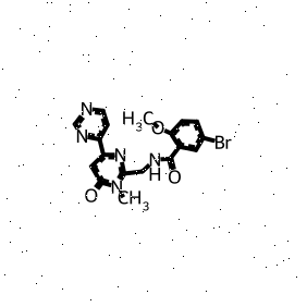 COc1ccc(Br)cc1C(=O)NCc1nc(-c2ccncn2)cc(=O)n1C